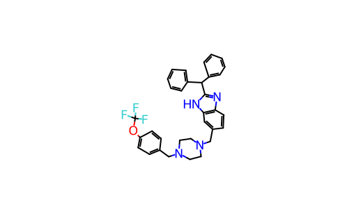 FC(F)(F)Oc1ccc(CN2CCN(Cc3ccc4nc(C(c5ccccc5)c5ccccc5)[nH]c4c3)CC2)cc1